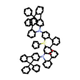 c1ccc(-c2ccccc2N(c2ccc3c(c2)[S+](c2ccccc2)c2cc(N(c4ccc5c(c4)C(c4ccccc4)(c4ccccc4)c4ccccc4-5)c4ccccc4-c4ccccc4)ccc2-c2ccccc2-3)c2ccc3c(c2)C(c2ccccc2)(c2ccccc2)c2ccccc2-3)cc1